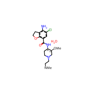 CNCCN1CC[C@@H](NC(=O)c2cc(Cl)c(N)c3c2OCC3)[C@@H](OC)C1.O